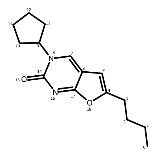 CCCCc1cc2cn(C3CCCC3)c(=O)nc2o1